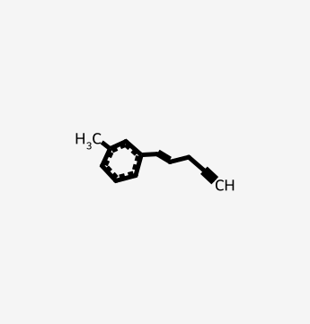 C#CCC=Cc1cccc(C)c1